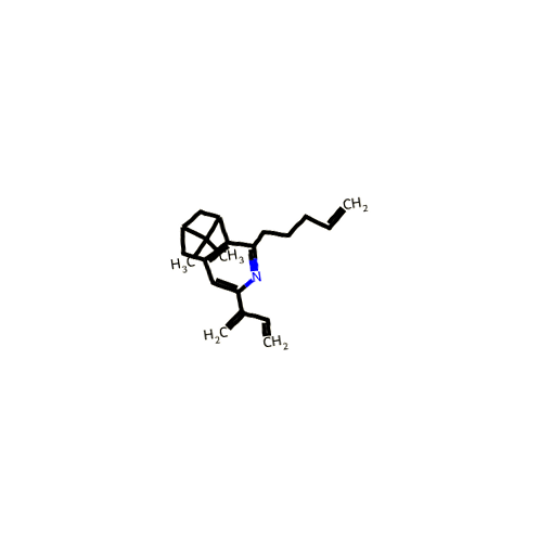 C=CCCCc1nc(C(=C)C=C)cc2c1C1CC(C2)C1(C)C